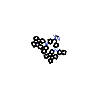 c1ccc2c(c1)-c1ccccc1C21c2ccccc2-c2ccc(N(c3ccc(-c4nccnc4-c4ccc(N(c5ccc6c(c5)C5(c7ccccc7-c7ccccc75)c5ccccc5-6)c5ccc6ccccc6c5)cc4)cc3)c3ccc4ccccc4c3)cc21